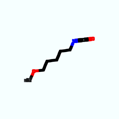 CCCCOCCCCCN=C=O